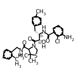 Cc1ccc(C[C@H](NC(=O)c2cccc(N)c2Cl)[C@H](O)C(=O)N2CSC(C)(C)C2C(=O)NCc2ccccc2C)cc1